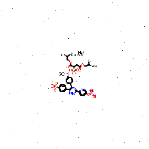 CCCCC(CC)COC(=O)CC(C(=O)OCC(CC)CCCC)S(=O)(=O)[O-].O=S(=O)([O-])c1ccc(-c2nnc(-c3ccccn3)nc2-c2ccc(S(=O)(=O)O)cc2)cc1.O=[PH](O)O.[Na+].[Na+]